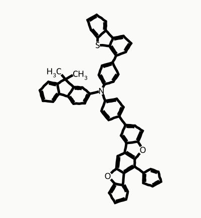 CC1(C)c2ccccc2-c2ccc(N(c3ccc(-c4ccc5oc6c(-c7ccccc7)c7c(cc6c5c4)oc4ccccc47)cc3)c3ccc(-c4cccc5c4sc4ccccc45)cc3)cc21